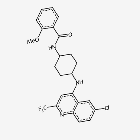 COc1ccccc1C(=O)NC1CCC(Nc2cc(C(F)(F)F)nc3ccc(Cl)cc23)CC1